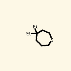 CCC1(CC)CCCSCC1